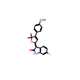 CC1(C)OC(=C2C(=O)Nc3cc(F)ccc32)C=C1c1ccc(C=O)cc1